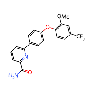 COc1cc(C(F)(F)F)ccc1Oc1ccc(-c2cccc(C(N)=O)n2)cc1